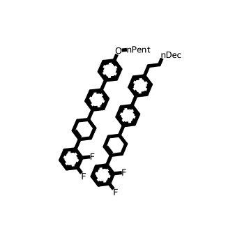 CCCCCCCCCCCCc1ccc(-c2ccc(C3CC=C(c4cccc(F)c4F)CC3)cc2)cc1.CCCCCOc1ccc(-c2ccc(C3CC=C(c4cccc(F)c4F)CC3)cc2)cc1